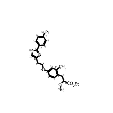 CCOC(=O)C(Cc1ccc(OCCc2csc(-c3ccc(C(C)C)cc3)n2)cc1C)OCC